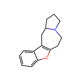 c1ccc2c3c(oc2c1)CCN1CCCC1C3